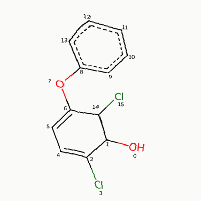 OC1C(Cl)=CC=C(Oc2ccccc2)C1Cl